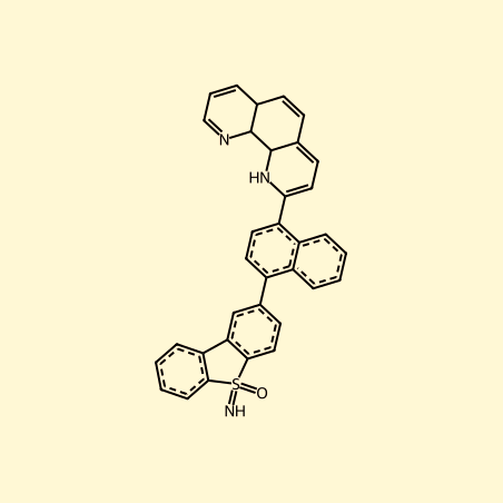 N=S1(=O)c2ccccc2-c2cc(-c3ccc(C4=CC=C5C=CC6C=CC=NC6C5N4)c4ccccc34)ccc21